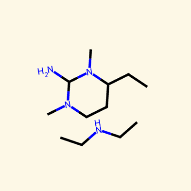 CCC1CCN(C)C(N)N1C.CCNCC